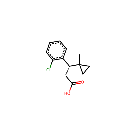 CC1([C@H](CC(=O)O)c2ccccc2Cl)CC1